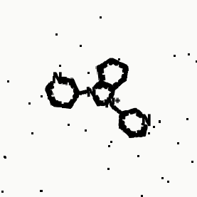 c1cncc(-n2c[n+](-c3cccnc3)c3ccccc32)c1